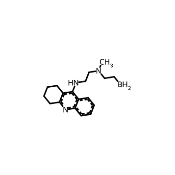 BCCN(C)CCNc1c2c(nc3ccccc13)CCCC2